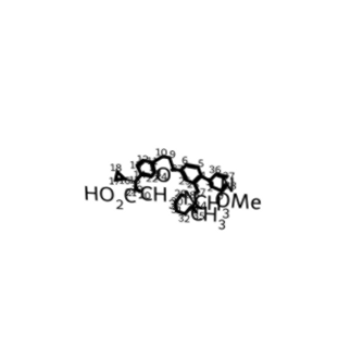 COc1cc(-c2ccc(C3CCc4ccc([C@H](C5CC5)[C@H](C)C(=O)O)cc4O3)cc2CN2CCCCC2(C)C)ccn1